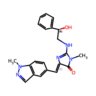 CN1C(=O)/C(=C/c2ccc3c(cnn3C)c2)N=C1NC[C@H](O)c1ccccc1